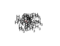 Cc1cc2c3c(c1)N(c1ccc(C(C)(C)C)cc1-c1ccc4c(c1)C(C)(C)CC4(C)C)c1cc4c(cc1B3c1ccc(C(C)(C)C)cc1N2c1cccc(C(C)(C)C)c1)C(C)(C)CCC4(C)C